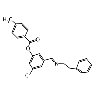 Cc1ccc(C(=O)Oc2cc(Cl)cc(C=NCCc3ccccc3)c2)cc1